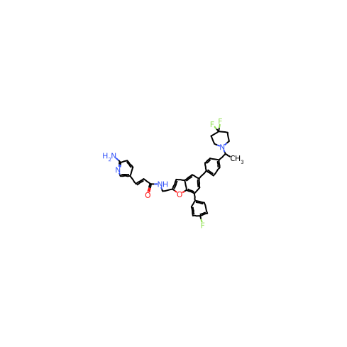 CC(c1ccc(-c2cc(-c3ccc(F)cc3)c3oc(CNC(=O)C=Cc4ccc(N)nc4)cc3c2)cc1)N1CCC(F)(F)CC1